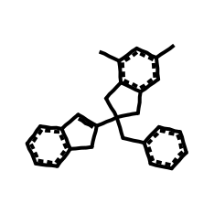 Cc1cc(C)c2c(c1)CC(Cc1ccccc1)(C1=Cc3ccccc3C1)C2